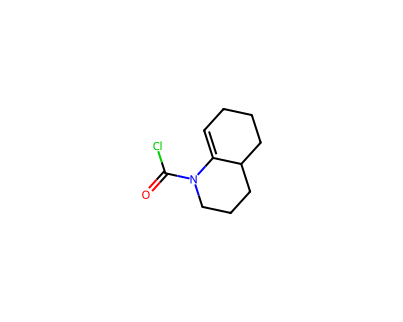 O=C(Cl)N1CCCC2CCCC=C21